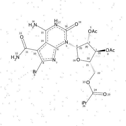 CC(=O)O[C@@H]1[C@@H](OC(C)=O)[C@@H](n2c3nc(Br)c(C(N)=O)c-3c(N)[nH]c2=O)O[C@H]1COC(=O)C(C)C